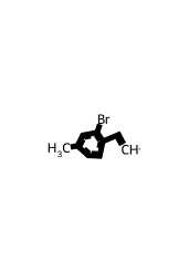 [CH]=Cc1ccc(C)cc1Br